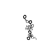 CN(c1ccccc1)S(=O)(=O)c1ccc(NC(=S)NC(=O)c2cccc(OCCc3ccccc3)c2)cc1